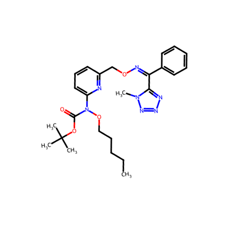 CCCCCON(C(=O)OC(C)(C)C)c1cccc(CON=C(c2ccccc2)c2nnnn2C)n1